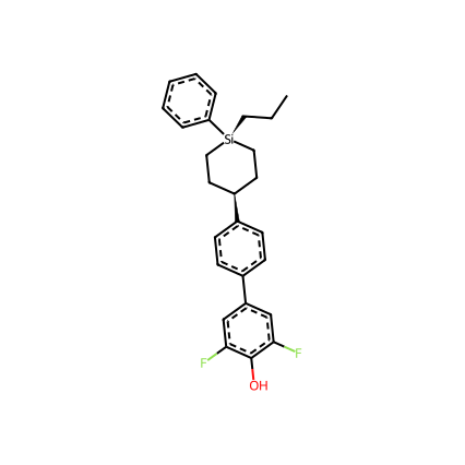 CCC[Si@]1(c2ccccc2)CC[C@H](c2ccc(-c3cc(F)c(O)c(F)c3)cc2)CC1